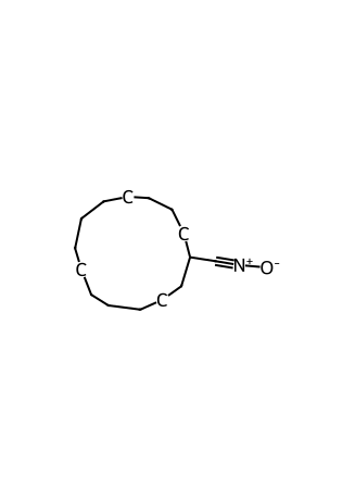 [O-][N+]#CC1CCCCCCCCCCCCC1